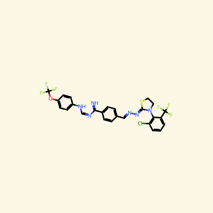 N=C(/N=C\Nc1ccc(OC(F)(F)F)cc1)c1ccc(/C=N/N=C2\SCCN2c2c(Cl)cccc2C(F)(F)F)cc1